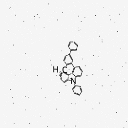 Cc1ccc(-c2ccccc2)cc1-c1cccc2c1c1ccccc1n2-c1ccccc1